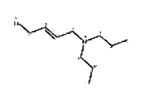 [Li][CH2]/C=C/CN(CCC)CCC